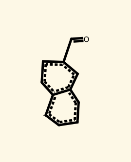 O=Cc1ccc2[c]cccc2c1